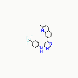 Cc1ccc2ccc(-c3cc(Nc4ccc(C(F)(F)F)cc4)ncn3)cc2n1